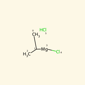 C[CH](C)[Mg][Cl].Cl